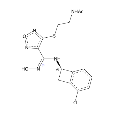 CC(=O)NCCSc1nonc1/C(=N\O)N[C@@H]1Cc2c(Cl)cccc21